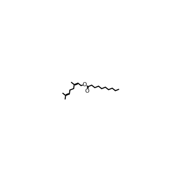 CCCCCCCCCC(=O)OCC=C(C)CCC=C(C)C